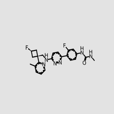 CNC(=O)Nc1ccc(-c2ccc(NC[C@]3(c4ncccc4C)C[C@H](F)C3)nn2)c(F)c1